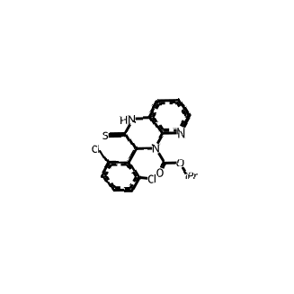 CC(C)OC(=O)N1c2ncccc2NC(=S)C1c1c(Cl)cccc1Cl